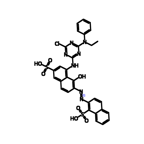 CCN(c1ccccc1)c1nc(Cl)nc(Nc2cc(S(=O)(=O)O)cc3ccc(/N=N/c4ccc5ccccc5c4S(=O)(=O)O)c(O)c23)n1